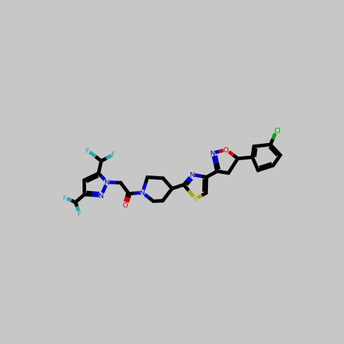 O=C(Cn1nc(C(F)F)cc1C(F)F)N1CCC(c2nc(C3=NOC(c4[c]ccc(Cl)c4)C3)cs2)CC1